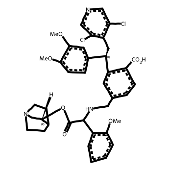 COc1ccc([C@@H](Cc2c(Cl)cncc2Cl)c2cc(CNC(C(=O)O[C@H]3CN4CCC3CC4)c3ccccc3OC)ccc2C(=O)O)cc1OC